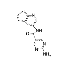 Nc1ncc(C(=O)Nc2cnc3ccccc3c2)cn1